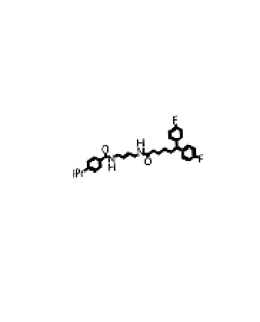 CC(C)c1ccc(C(=O)NC/C=C/CNC(=O)CCCCC(c2ccc(F)cc2)c2ccc(F)cc2)cc1